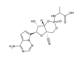 CC(NP1(=O)OC[C@@]2(C#N)O[C@@H](c3ccc4c(N)ncnn34)[C@H](O)[C@@H]2O1)C(=O)O